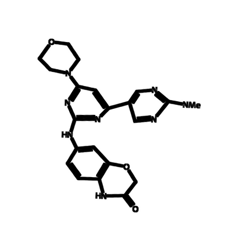 CNc1ncc(-c2cc(N3CCOCC3)nc(Nc3ccc4c(c3)OCC(=O)N4)n2)cn1